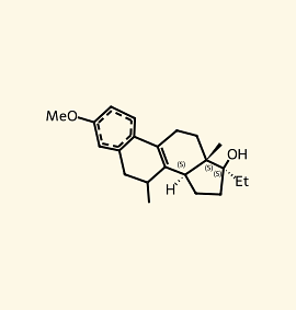 CC[C@]1(O)CC[C@H]2C3=C(CC[C@@]21C)c1ccc(OC)cc1CC3C